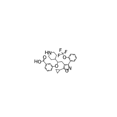 O=C(O)c1cccc(OC(Cc2c(-c3ccccc3OC(F)(F)F)noc2C2CC2)C2CCNCC2)c1